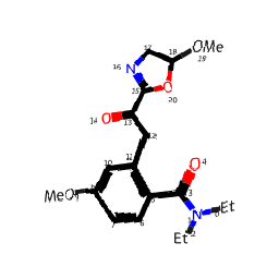 CCN(CC)C(=O)c1ccc(OC)cc1CC(=O)C1=NCC(OC)O1